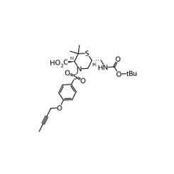 CC#CCOc1ccc(S(=O)(=O)N2C[C@@H](CNC(=O)OC(C)(C)C)SC(C)(C)[C@@H]2C(=O)O)cc1